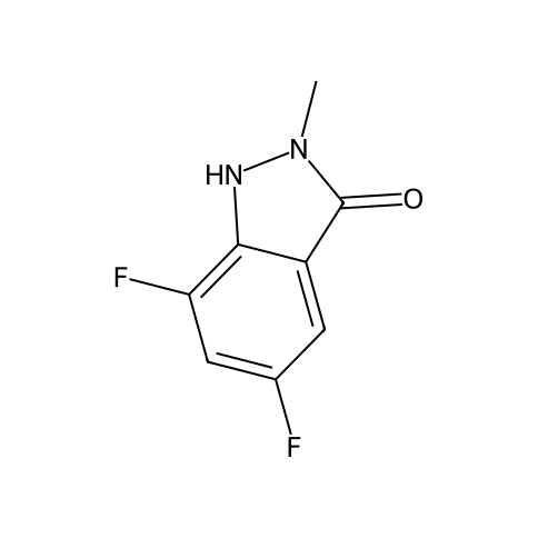 Cn1[nH]c2c(F)cc(F)cc2c1=O